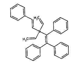 C=C[Si](C=C)(C=Cc1ccccc1)C(=C(c1ccccc1)c1ccccc1)c1ccccc1